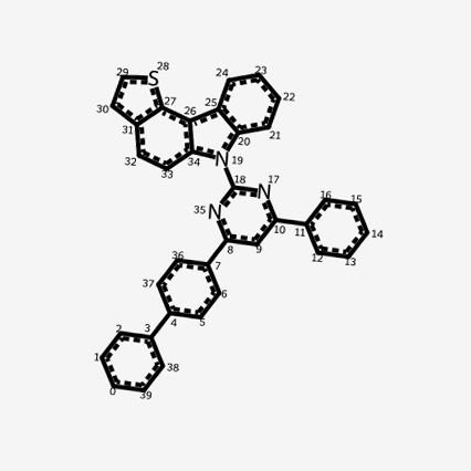 c1ccc(-c2ccc(-c3cc(-c4ccccc4)nc(-n4c5ccccc5c5c6sccc6ccc54)n3)cc2)cc1